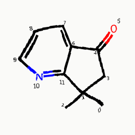 CC1(C)CC(=O)c2cccnc21